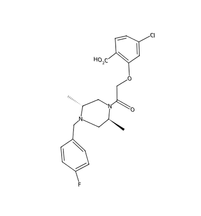 C[C@@H]1CN(C(=O)COc2cc(Cl)ccc2C(=O)O)[C@@H](C)CN1Cc1ccc(F)cc1